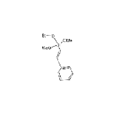 CCO[Si](/C=C/c1ccccc1)(OC)OC